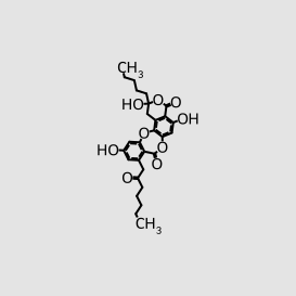 CCCCCC(=O)Cc1cc(O)cc2c1C(=O)Oc1cc(O)c3c(c1O2)CC(O)(CCCCC)OC3=O